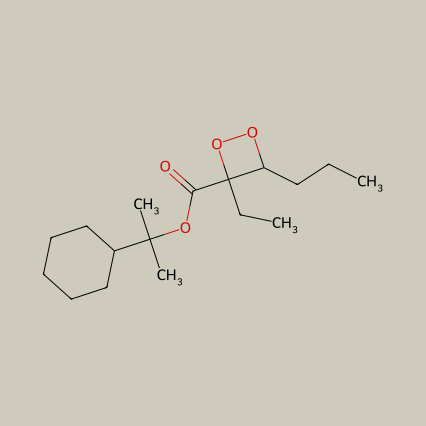 CCCC1OOC1(CC)C(=O)OC(C)(C)C1CCCCC1